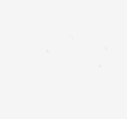 C#CC(C)OC(=O)N(C)c1sc(-c2cncnc2)nc1C